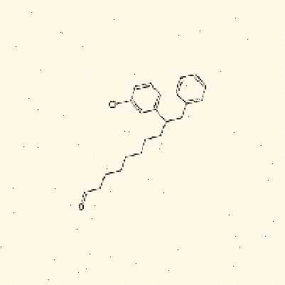 O=CCCCCCCCC(Cc1ccccc1)c1cccc(Cl)c1